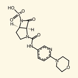 O=C(Nc1ccc(N2CCOCC2)nc1)N1CC[C@@H]2[C@H]1C(=O)N2S(=O)(=O)O